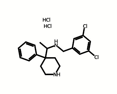 CC(NCc1cc(Cl)cc(Cl)c1)C1(c2ccccc2)CCNCC1.Cl.Cl